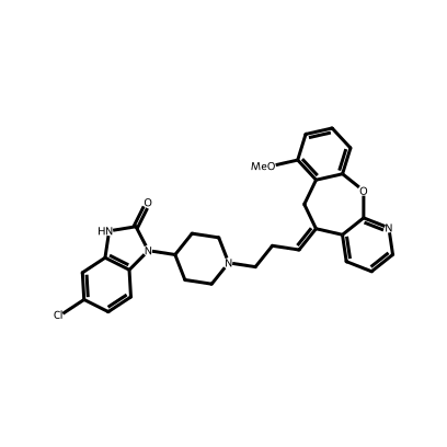 COc1cccc2c1CC(=CCCN1CCC(n3c(=O)[nH]c4cc(Cl)ccc43)CC1)c1cccnc1O2